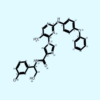 Cc1cnc(Nc2ccc(Oc3ccccc3)cc2)nc1-n1cnc(C(=O)NC(CO)c2cccc(Cl)c2)c1